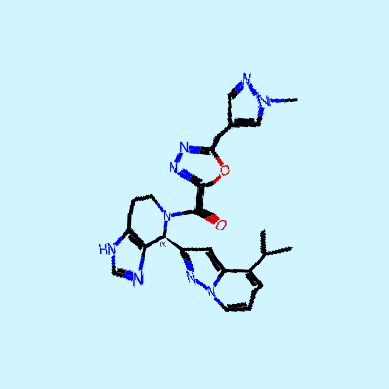 CC(C)c1cccn2nc([C@H]3c4nc[nH]c4CCN3C(=O)c3nnc(-c4cnn(C)c4)o3)cc12